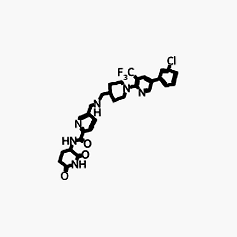 O=C1CCC(NC(=O)c2ccc(CNCC3CCN(c4ncc(-c5cccc(Cl)c5)cc4C(F)(F)F)CC3)cn2)C(=O)N1